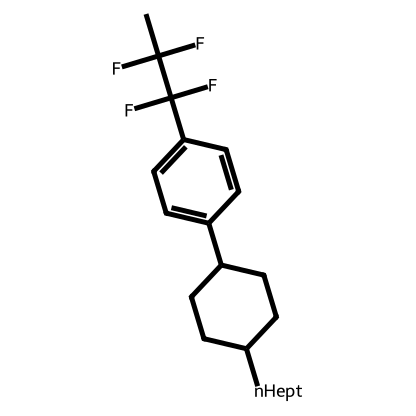 CCCCCCCC1CCC(c2ccc(C(F)(F)C(C)(F)F)cc2)CC1